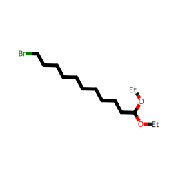 CCOC(CCCCCCCCCCBr)OCC